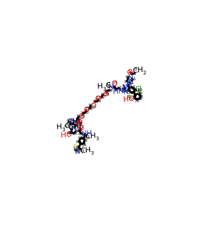 C=CC(=O)N1CCN(c2nc(NCCC(=O)N(C)CCOCCOCCOCCOCCOCC(=O)N[C@H](C(=O)N3C[C@H](O)C[C@H]3C(=O)CN[C@@H](C)c3ccc(-c4scnc4C)cc3)C(C)(C)C)nc3c(F)c(-c4c(O)cccc4F)c(Cl)cc23)CC1